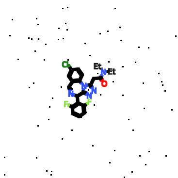 CCN(CC)C(=O)Cc1nnc2n1-c1ccc(Cl)cc1C=NC2c1c(F)cccc1F